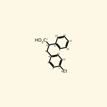 CCc1ccc(CC(C(=O)O)c2ccccc2)cc1